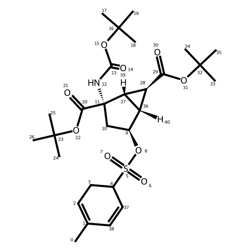 CC1=CCC(S(=O)(=O)O[C@H]2C[C@@](NC(=O)OC(C)(C)C)(C(=O)OC(C)(C)C)[C@@H]3[C@@H](C(=O)OC(C)(C)C)[C@@H]32)C=C1